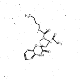 CCCCOC(=O)N1C[C@@]2(C[C@H]1C(N)=O)Oc1ccccc1NC2=O